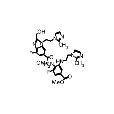 COC(=O)c1cc(F)c(N)c(NCCn2ccnc2C)c1.COC(=O)c1cc(F)c2nc(CO)n(CCn3ccnc3C)c2c1